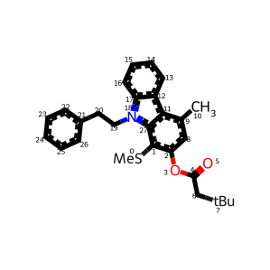 CSc1c(OC(=O)CC(C)(C)C)cc(C)c2c3ccccc3n(CCc3ccccc3)c12